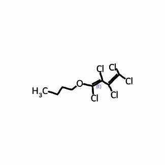 CCCCO/C(Cl)=C(\Cl)C(Cl)=C(Cl)Cl